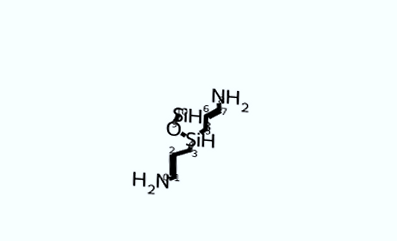 NC=CC[SiH](CC=CN)O[SiH3]